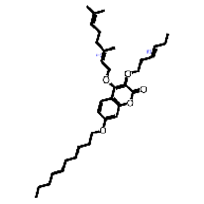 CC/C=C/CCOc1c(OC/C=C(\C)CCC=C(C)C)c2ccc(OCCCCCCCCCC)cc2oc1=O